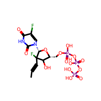 CC#CC1(F)C(O)[C@@H](COP(=O)(O)OP(=O)(O)OP(=O)(O)O)O[C@H]1n1cc(F)c(=O)[nH]c1=O